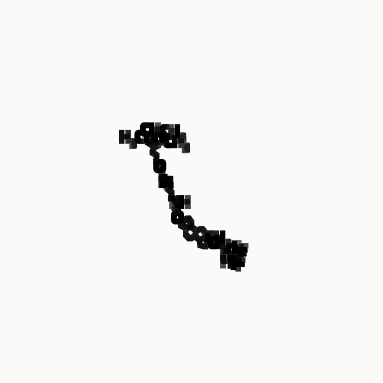 CC(C)OCC(CCCOCCSSCCCNCCOc1ccc2c(c1)CCC1C2CCC2(C)C(OCCCOC(C(F)(F)F)(C(F)(F)F)C(F)(F)F)CCC12)COC(C)C